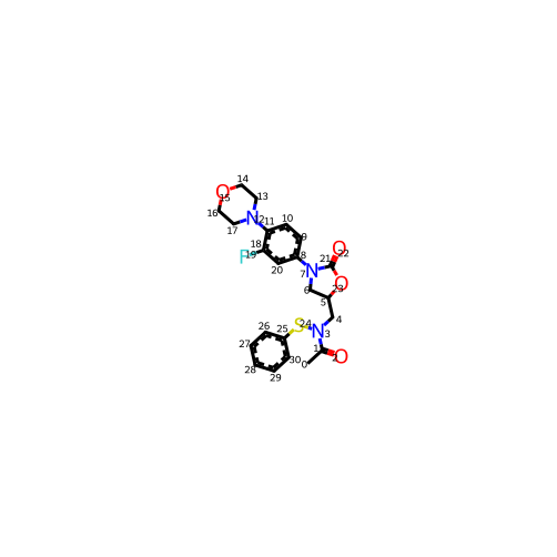 CC(=O)N(CC1CN(c2ccc(N3CCOCC3)c(F)c2)C(=O)O1)Sc1ccccc1